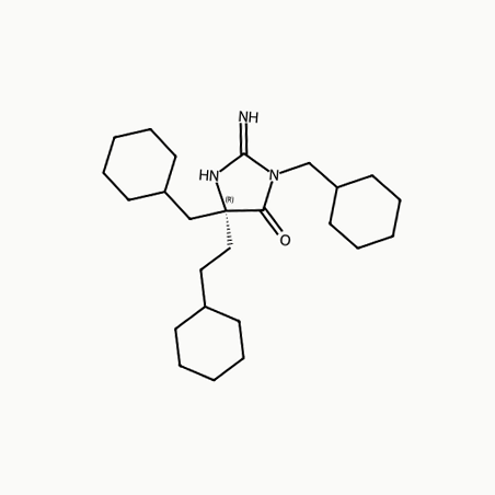 N=C1N[C@](CCC2CCCCC2)(CC2CCCCC2)C(=O)N1CC1CCCCC1